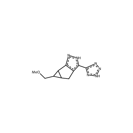 COCC1C2Cc3c(n[nH]c3-c3nn[nH]n3)C12